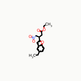 CCOC(=O)CC(C[N+](=O)[O-])c1cc2cc(CC)ccc2o1